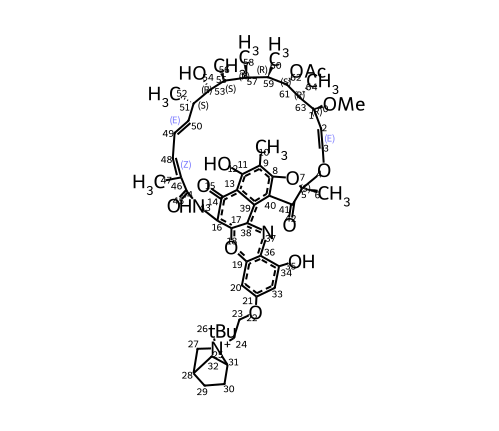 CO[C@H]1/C=C/O[C@@]2(C)Oc3c(C)c(O)c4c(=O)c(c5oc6cc(OCC[N+]7(C(C)(C)C)CC8CCC7C8)cc(O)c6nc-5c4c3C2=O)NC(=O)/C(C)=C\C=C\[C@H](C)[C@H](O)[C@@H](C)[C@@H](C)[C@@H](C)[C@H](OC(C)=O)[C@@H]1C